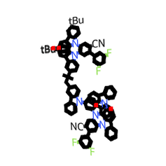 CC(C)(C)c1ccc2c(c1)c1cc(C(C)(C)C)ccc1n2-c1cc(C#N)c(-c2cc(F)cc(F)c2)cc1-n1c2ccc(C(C)(C)C)cc2c2cc(C(C)(C)Cc3ccc4c(c3)c3ccccc3n4-c3ccc4c5ccccc5n(-c5cc(C#N)c(-c6cc(F)cc(F)c6)cc5-n5c6ccccc6c6ccc(-n7c8ccccc8c8ccccc87)cc65)c4c3)ccc21